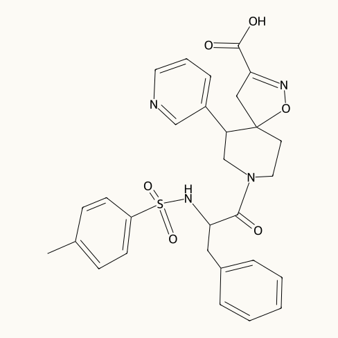 Cc1ccc(S(=O)(=O)NC(Cc2ccccc2)C(=O)N2CCC3(CC(C(=O)O)=NO3)C(c3cccnc3)C2)cc1